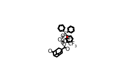 O=C1C2CC3CC1CC(C(=O)OC(C(F)(F)F)C(F)(F)S(=O)(=O)OS(c1ccccc1)(c1ccccc1)c1ccccc1)(C3)C2